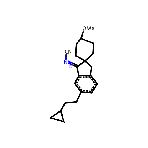 COC1CCC2(CC1)Cc1ccc(CCC3CC3)cc1/C2=N/C#N